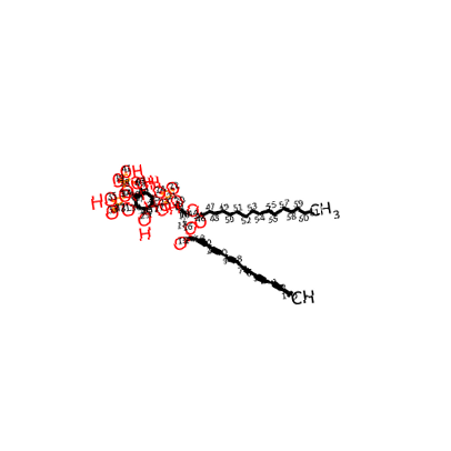 C#CC#CC#CC#CC#CC#CC#CC(=O)OC[C@H](COP(=O)(O)OC1C(O)[C@@H](O)C(OP(=O)(O)O)[C@@H](OP(=O)(O)O)[C@H]1O)OC(=O)CCCCCCCCCCCCCCC